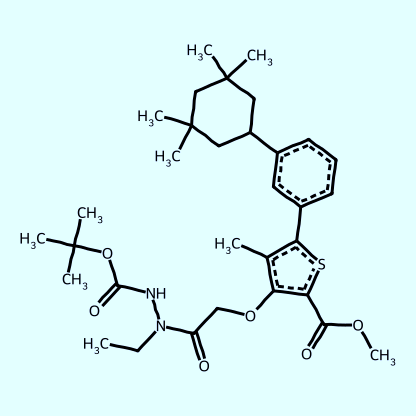 CCN(NC(=O)OC(C)(C)C)C(=O)COc1c(C(=O)OC)sc(-c2cccc(C3CC(C)(C)CC(C)(C)C3)c2)c1C